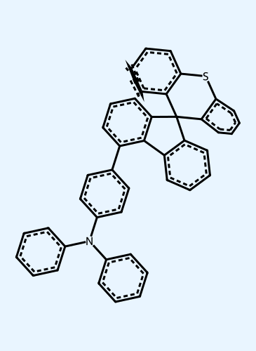 c1ccc(N(c2ccccc2)c2ccc(-c3cccc4c3-c3ccccc3C43c4ccccc4Sc4ccc5ccccc5c43)cc2)cc1